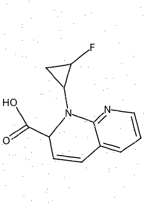 O=C(O)C1C=Cc2cccnc2N1C1CC1F